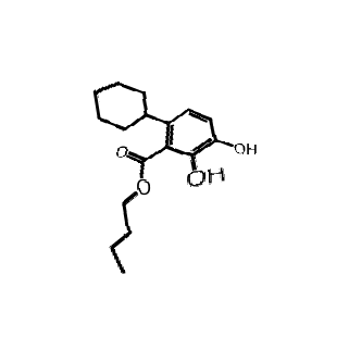 CCCCOC(=O)c1c(C2CCCCC2)ccc(O)c1O